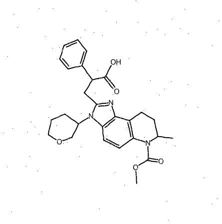 COC(=O)N1c2ccc3c(nc(CC(C(=O)O)c4ccccc4)n3C3CCCOC3)c2CCC1C